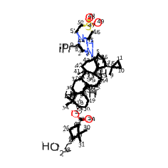 CC(C)[C@H](CN[C@]12CC[C@@H](C3(C)CC3)[C@@H]1[C@H]1CC[C@@H]3[C@@]4(C)CC[C@H](OC(=O)[C@H]5C[C@@H](C(=O)O)C5(C)C)C(C)(C)[C@@H]4CC[C@@]3(C)[C@]1(C)CC2)N1CCS(=O)(=O)CC1